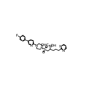 O=CN(O)C(CCCc1ncccn1)CS(=O)(=O)N1CCN(c2ccc(-c3ccc(F)cc3)cn2)CC1